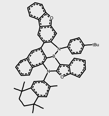 Cc1cc2c(cc1N1c3oc4ccccc4c3B3c4c(cc5ccccc5c41)-c1cc4c(cc1N3c1ccc(C(C)(C)C)cc1)oc1ccccc14)C(C)(C)CCC2(C)C